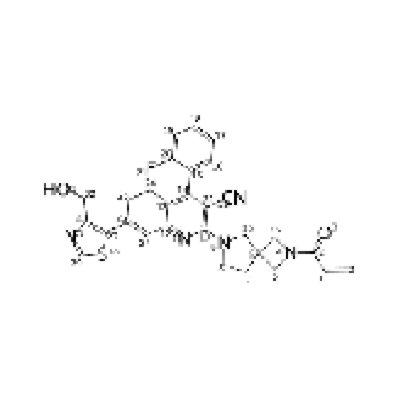 C=CC(=O)N1CC2(CCN(c3nc4c(c(-c5ccccc5F)c3C#N)CCC(c3scnc3CO)=C4)C2)C1